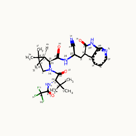 CC(C)(C)[C@H](NC(=O)C(F)(F)F)C(=O)N1C[C@H]2[C@H]([C@H]1C(=O)NC(C#N)CC1C(=O)Nc3ncccc31)C2(C)C